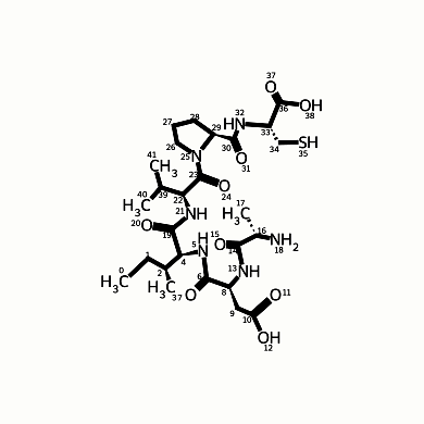 CC[C@H](C)[C@H](NC(=O)[C@H](CC(=O)O)NC(=O)[C@H](C)N)C(=O)N[C@H](C(=O)N1CCC[C@H]1C(=O)N[C@@H](CS)C(=O)O)C(C)C